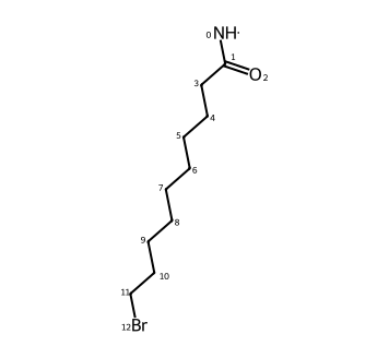 [NH]C(=O)CCCCCCCCCBr